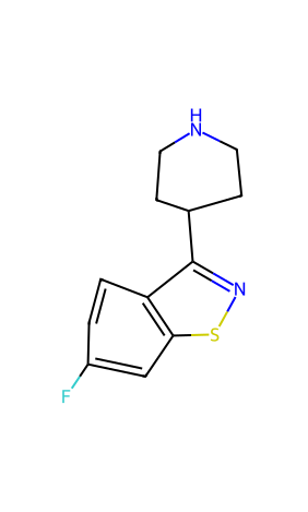 Fc1ccc2c(C3CCNCC3)nsc2c1